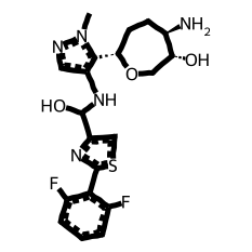 Cn1ncc(NC(O)c2csc(-c3c(F)cccc3F)n2)c1[C@@H]1CC[C@@H](N)[C@H](O)CO1